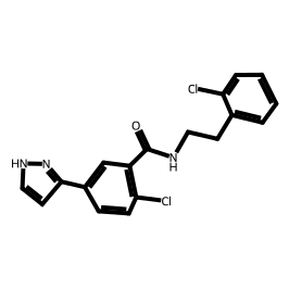 O=C(NCCc1ccccc1Cl)c1cc(-c2cc[nH]n2)ccc1Cl